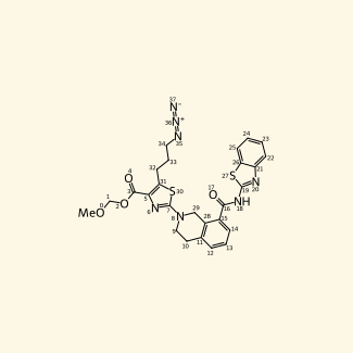 COCOC(=O)c1nc(N2CCc3cccc(C(=O)Nc4nc5ccccc5s4)c3C2)sc1CCCN=[N+]=[N-]